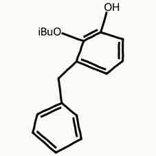 CC(C)COc1c(O)cccc1Cc1ccccc1